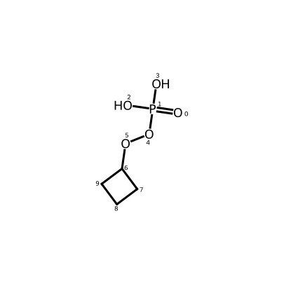 O=P(O)(O)OOC1CCC1